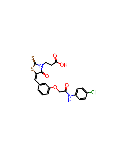 O=C(O)CCN1C(=O)/C(=C\c2cccc(OCC(=O)Nc3ccc(Cl)cc3)c2)SC1=S